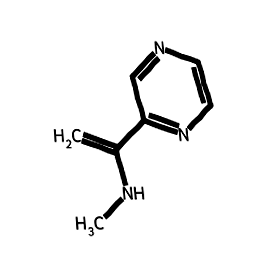 C=C(NC)c1cnccn1